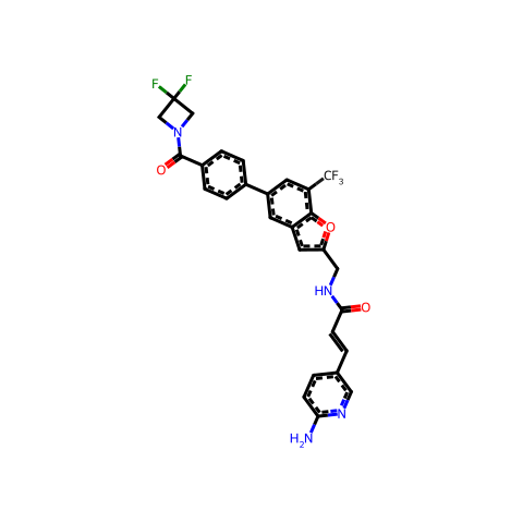 Nc1ccc(C=CC(=O)NCc2cc3cc(-c4ccc(C(=O)N5CC(F)(F)C5)cc4)cc(C(F)(F)F)c3o2)cn1